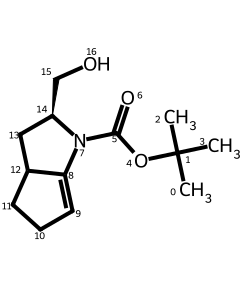 CC(C)(C)OC(=O)N1C2=CCCC2C[C@H]1CO